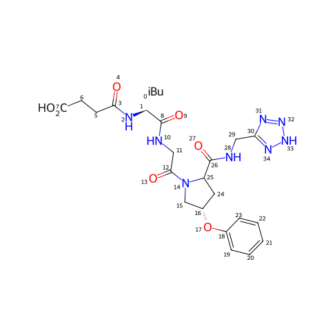 CC[C@H](C)[C@H](NC(=O)CCC(=O)O)C(=O)NCC(=O)N1C[C@@H](Oc2ccccc2)CC1C(=O)NCc1nn[nH]n1